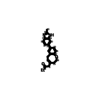 CCC(=O)C/C1=C/Cc2cc(-c3ccc4nc(C)[nH]c4c3)ccc2OCC1